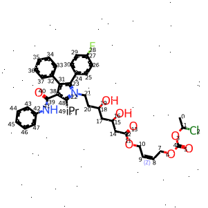 CC(Cl)OC(=O)OC/C=C\COC(=O)CC(O)CC(O)CCn1c(-c2ccc(F)cc2)c(-c2ccccc2)c(C(=O)Nc2ccccc2)c1C(C)C